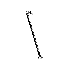 [CH]=C/C=C/CCCCCCCCCCCCCCCCCCCCCCCC